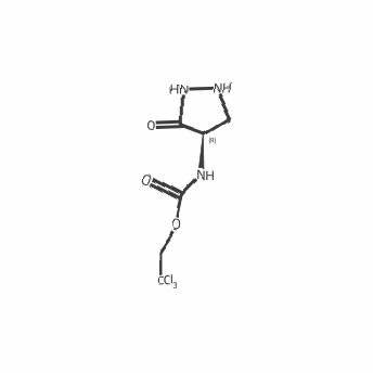 O=C(N[C@@H]1CNNC1=O)OCC(Cl)(Cl)Cl